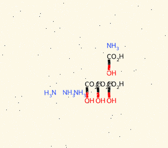 N.N.N.N.O=C(O)O.O=C(O)O.O=C(O)O.O=C(O)O